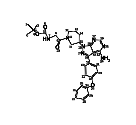 CC(C)(C)OC(=O)NCC(=O)N1CCCC(n2nc(-c3ccc(Oc4ccccc4)cc3)c3c(N)ncnc32)C1